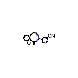 C=C1/C=C(c2cccc(C#N)c2)\C=C/CCC2(CC=CCC2)C1=O